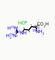 Cl.[15NH]=C([15NH2])[15NH]CCC[C@H]([15NH2])C(=O)O